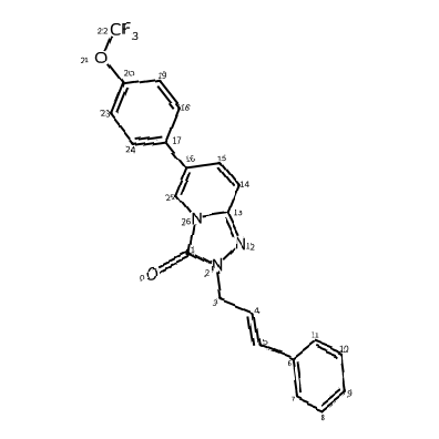 O=c1n(CC=Cc2ccccc2)nc2ccc(-c3ccc(OC(F)(F)F)cc3)cn12